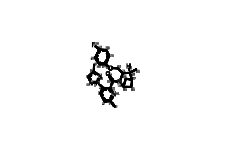 Cc1ccc(-n2ncc(C)n2)c(C(=O)N2C3CC(C3)[C@@H](C)C2COc2ccc(F)cc2)n1